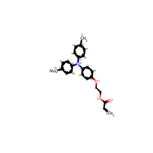 C=CC(=O)OCCOc1ccc(N(c2ccc(C)cc2)c2ccc(OC)cc2)cc1